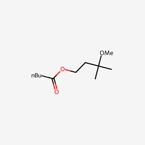 CCCCC(=O)OCCC(C)(C)OC